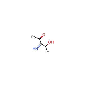 [CH2]C(O)C(=N)C(=O)CC